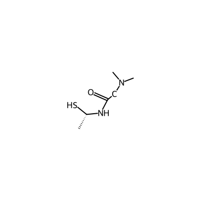 C[C@H](S)NC(=O)CN(C)C